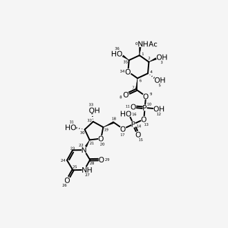 CC(=O)N[C@H]1[C@@H](O)[C@H](O)[C@@H](C(=O)OP(=O)(O)OP(=O)(O)OC[C@H]2O[C@@H](n3ccc(=O)[nH]c3=O)[C@H](O)[C@@H]2O)O[C@H]1O